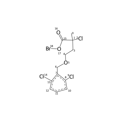 CC(Cl)(CCOCc1c(Cl)cccc1Cl)C(=O)OBr